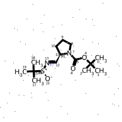 CC(C)(C)OC(=O)N1CCC[C@@H]1/C=N/[S@+]([O-])C(C)(C)C